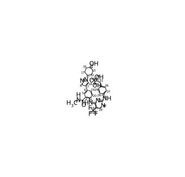 CNC(=O)c1cc(-c2cnn(C3CCC(O)CC3)c2)ccc1Nc1nc(Nc2ccc(CP(=O)(O)O)cc2)ncc1C(F)(F)F